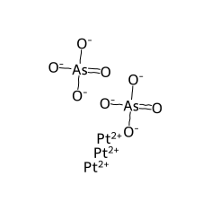 O=[As]([O-])([O-])[O-].O=[As]([O-])([O-])[O-].[Pt+2].[Pt+2].[Pt+2]